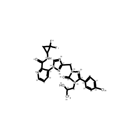 O=C(NC1CC1(F)F)c1ncccc1-n1cnc(Cn2nc(-c3ccc(Cl)cc3)n(CC(O)C(F)(F)F)c2=O)n1